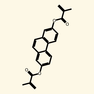 C=C(C)C(=O)Oc1ccc2c(ccc3cc(OC(=O)C(=C)C)ccc32)c1